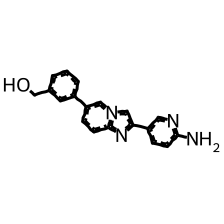 Nc1ccc(-c2cn3cc(-c4cccc(CO)c4)ccc3n2)cn1